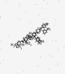 CC(C)c1ccccc1[C@H]1C[S+]([O-])CCN1C1CC2(CCN(c3ccc(C(=O)NS(=O)(=O)c4cnc(NCC5CCC(C)(C)CC5)c([N+](=O)[O-])c4)c(Oc4cnc5[nH]ccc5c4)c3)CC2)C1